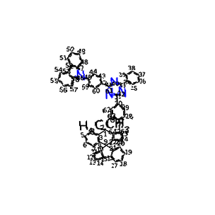 CC1(C)c2ccccc2C2(c3ccccc3-c3ccccc32)c2cccc(-c3ccc(-c4nc(-c5ccccc5)nc(-c5ccc(-n6c7ccccc7c7ccccc76)cc5)n4)cc3)c21